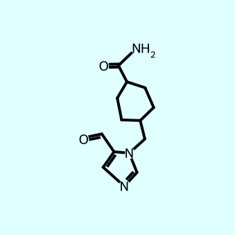 NC(=O)C1CCC(Cn2cncc2C=O)CC1